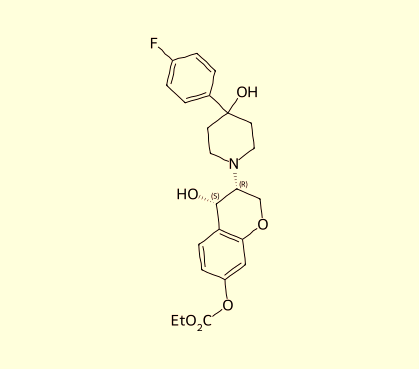 CCOC(=O)Oc1ccc2c(c1)OC[C@@H](N1CCC(O)(c3ccc(F)cc3)CC1)[C@H]2O